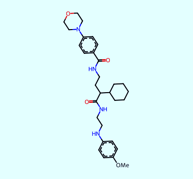 COc1ccc(NCCNC(=O)C(CCNC(=O)c2ccc(N3CCOCC3)cc2)C2CCCCC2)cc1